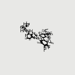 COc1c([C@H]2[C@H](c3nc4c(NN[SH](=O)=O)nccc4[nH]3)O[C@@](C)(C(F)(F)F)[C@H]2C)ccc(F)c1F